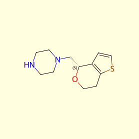 c1cc2c(s1)CCO[C@@H]2CN1CCNCC1